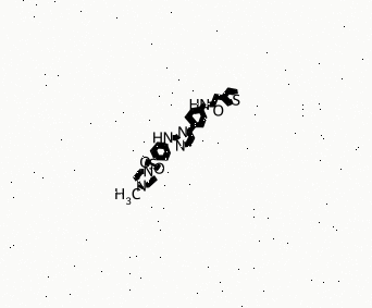 CN1CCN(S(=O)(=O)c2ccc(Nc3nccc(-c4ccc(NC(=O)Cc5ccsc5)cc4)n3)cc2)CC1